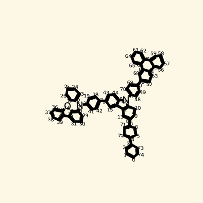 c1ccc(-c2ccc(-c3ccc4c(c3)c3cc(-c5ccc(N(c6ccccc6)c6cccc7c6oc6ccccc67)cc5)ccc3n4-c3ccc(-c4ccc5c6ccccc6c6ccccc6c5c4)cc3)cc2)cc1